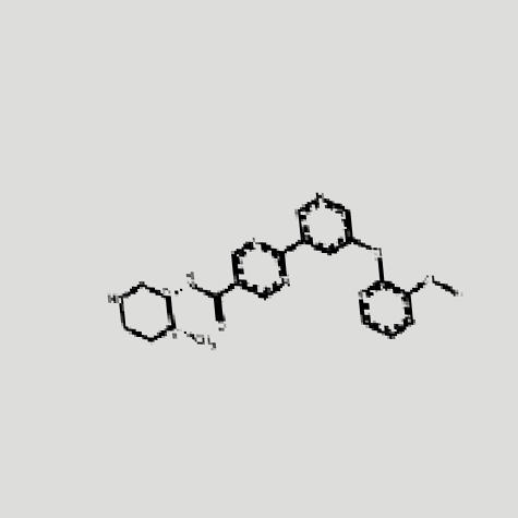 CCOc1cccnc1Oc1cncc(-c2ncc(C(=O)N[C@H]3CNCC[C@H]3C)cn2)c1